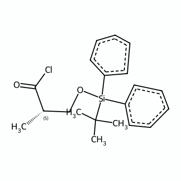 C[C@@H](CO[Si](c1ccccc1)(c1ccccc1)C(C)(C)C)C(=O)Cl